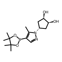 Cc1c(B2OC(C)(C)C(C)(C)O2)cnn1[C@@H]1C[C@@H](O)[C@@H](O)C1